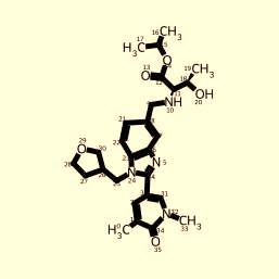 Cc1cc(-c2nc3cc(CN[C@H](C(=O)OC(C)C)[C@@H](C)O)ccc3n2CC2CCOC2)cn(C)c1=O